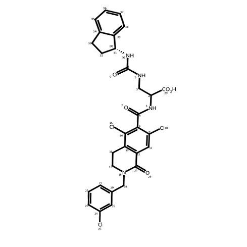 O=C(NCC(NC(=O)c1c(Cl)cc2c(c1Cl)CCN(Cc1cccc(Cl)c1)C2=O)C(=O)O)N[C@@H]1CCc2ccccc21